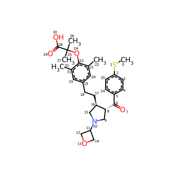 CSc1ccc(C(=O)[C@@H]2CN(C3COC3)C[C@H]2CCc2cc(C)c(OC(C)(C)C(=O)O)c(C)c2)cc1